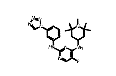 CN1C(C)(C)CC(Nc2nc(Nc3cccc(-n4cnnn4)c3)ncc2F)CC1(C)C